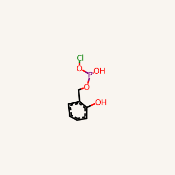 Oc1ccccc1COP(O)OCl